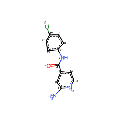 Nc1cc(C(=O)Nc2ccc(Cl)cc2)ccn1